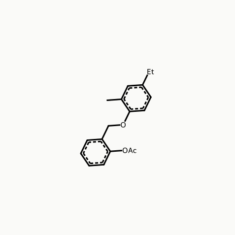 CCc1ccc(OCc2ccccc2OC(C)=O)c(C)c1